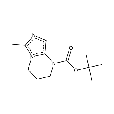 Cc1ncc2n1CCCN2C(=O)OC(C)(C)C